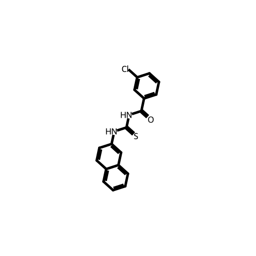 O=C(NC(=S)Nc1ccc2ccccc2c1)c1cccc(Cl)c1